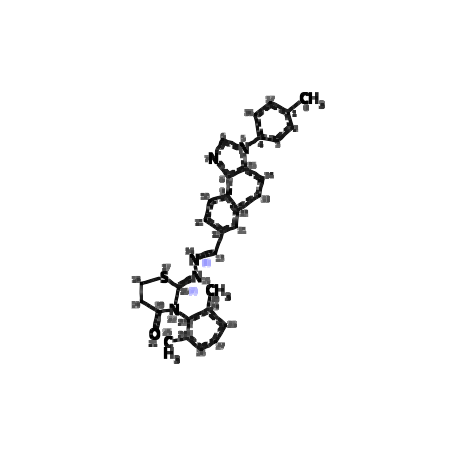 Cc1ccc(-n2cnc3c4ccc(/C=N/N=C5\SCCC(=O)N5c5c(C)cccc5C)cc4ccc32)cc1